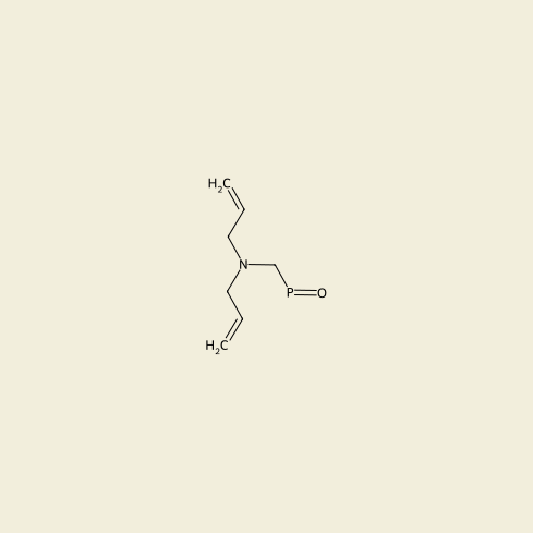 C=CCN(CC=C)CP=O